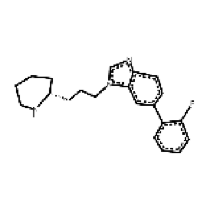 Fc1ccccc1-c1ccc2ncn(CCC[C@H]3CCCCN3)c2c1